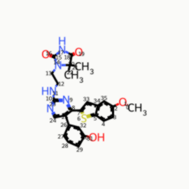 COc1ccc2sc(-c3nc(NCCN4C(=O)NC(=O)C4(C)C)ncc3-c3cccc(O)c3)cc2c1